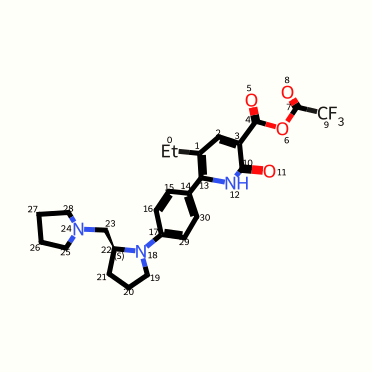 CCc1cc(C(=O)OC(=O)C(F)(F)F)c(=O)[nH]c1-c1ccc(N2CCC[C@H]2CN2CCCC2)cc1